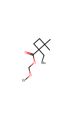 CCOCOC(=O)C1(CC(C)(C)C)CCC1(C)C